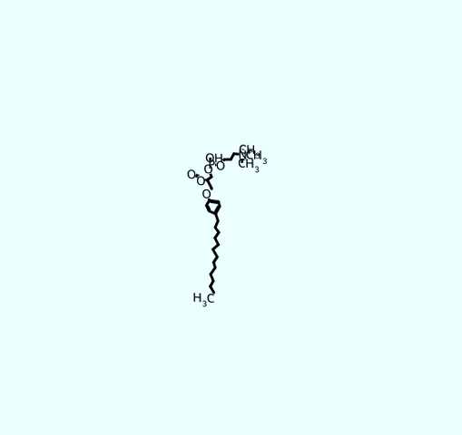 CCCCCCCCCCCCCCc1ccc(OCC(COP(O)OCCC[N+](C)(C)C)OC=O)cc1